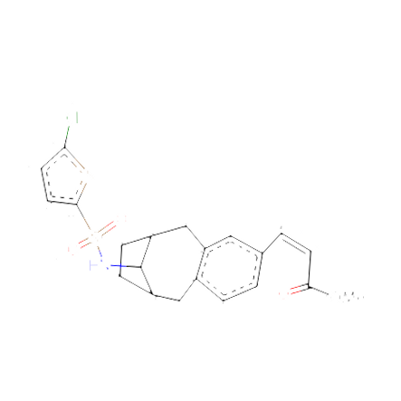 COC(=O)/C=C\c1ccc2c(c1)CC1CCC(C2)C1NS(=O)(=O)c1ccc(Cl)s1